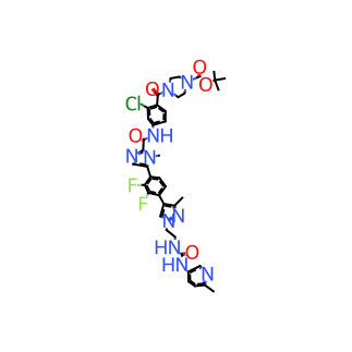 Cc1ccc(NC(=O)NCCn2cc(-c3ccc(-c4cnc(C(=O)Nc5ccc(C(=O)N6CCN(C(=O)OC(C)(C)C)CC6)c(Cl)c5)n4C)c(F)c3F)c(C)n2)cn1